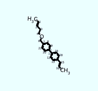 CC=CCCOCc1ccc(-c2ccc(C=CC)cc2)cc1